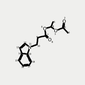 CC(=O)OC(C)OC(=O)CCn1ccc2ccccc21